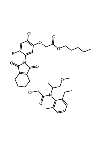 CCCCCOC(=O)COc1cc(N2C(=O)C3=C(CCCC3)C2=O)c(F)cc1Cl.CCc1cccc(C)c1N(C(=O)CCl)C(C)COC